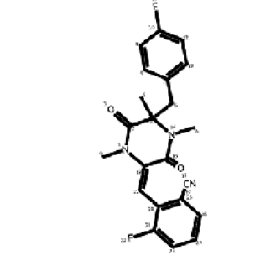 CN1C(=O)C(C)(Cc2ccc(F)cc2)N(C)C(=O)C1=Cc1c(F)cccc1C#N